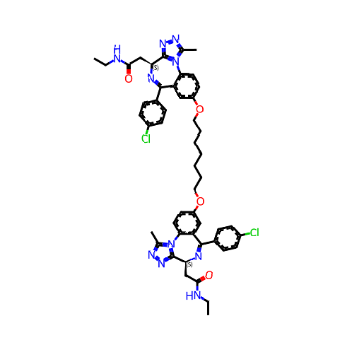 CCNC(=O)C[C@@H]1N=C(c2ccc(Cl)cc2)c2cc(OCCCCCCCOc3ccc4c(c3)C(c3ccc(Cl)cc3)=N[C@@H](CC(=O)NCC)c3nnc(C)n3-4)ccc2-n2c(C)nnc21